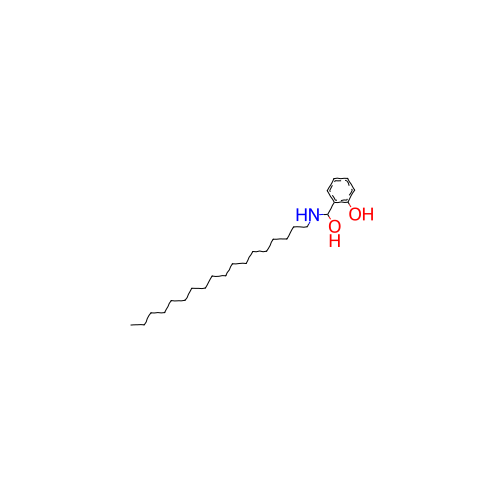 CCCCCCCCCCCCCCCCCCNC(O)c1ccccc1O